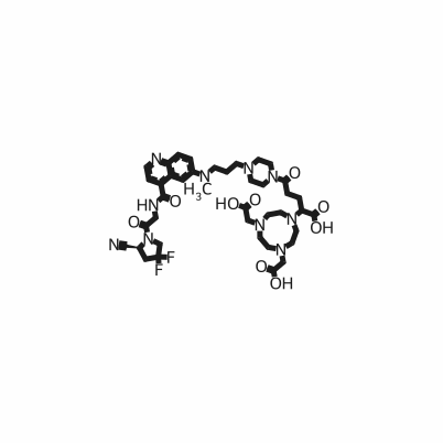 CN(CCCN1CCN(C(=O)CCC(C(=O)O)N2CCN(CC(=O)O)CCN(CC(=O)O)CC2)CC1)c1ccc2nccc(C(=O)NCC(=O)N3CC(F)(F)C[C@H]3C#N)c2c1